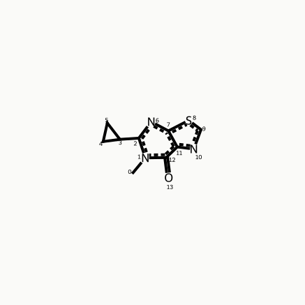 Cn1c(C2CC2)nc2scnc2c1=O